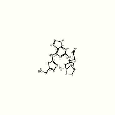 N#CCCN1C2CC[C@H]1C[C@H](Nc1nc(Nc3ncc(CO)s3)c3ccsc3n1)C2